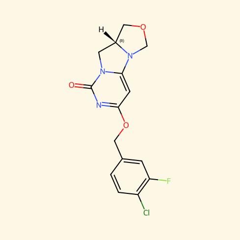 O=c1nc(OCc2ccc(Cl)c(F)c2)cc2n1C[C@@H]1COCN21